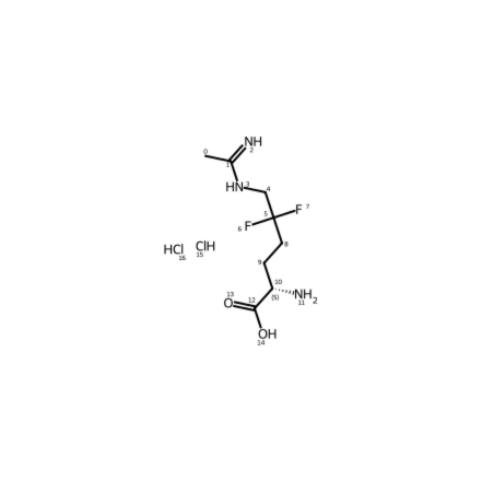 CC(=N)NCC(F)(F)CC[C@H](N)C(=O)O.Cl.Cl